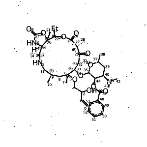 C=CC(O)CO[C@]1(C)C[C@@H](C)CN[C@H](C)[C@H]2NC(=O)O[C@]2(C)[C@@H](CC)OC(=O)[C@H](C)C(=O)[C@H](C)[C@H]1OC1OC(C)CC(N(C)C)C1OC(=O)c1ccccc1